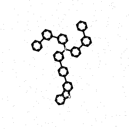 c1ccc(-c2cccc(-c3cccc(N(c4cccc(-c5ccc(-c6ccc7oc8ccccc8c7c6)cc5)c4)c4cccc(-c5cccc(-c6ccccc6)c5)c4)c3)c2)cc1